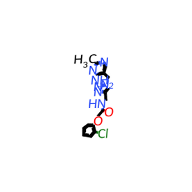 Cc1ncc(Cn2cc(CNC(=O)COc3ccccc3Cl)nn2)c(N)n1